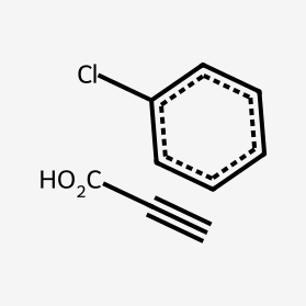 C#CC(=O)O.Clc1ccccc1